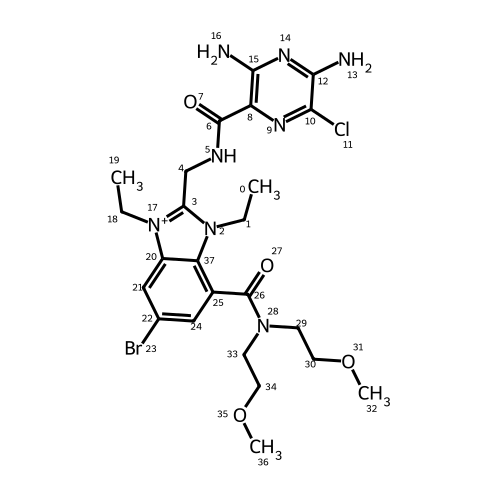 CCn1c(CNC(=O)c2nc(Cl)c(N)nc2N)[n+](CC)c2cc(Br)cc(C(=O)N(CCOC)CCOC)c21